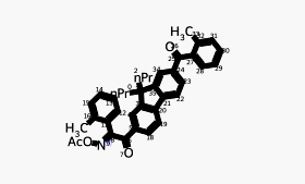 CCCC1(CCC)c2cc(C(=O)/C(=N/OC(C)=O)c3ccccc3C)ccc2-c2ccc(C(=O)c3ccccc3C)cc21